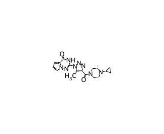 Cc1c(C(=O)N2CCN(C3CC3)CC2)nnn1-c1nn2cccc2c(=O)[nH]1